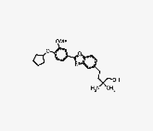 COc1cc(-c2nc3cc(CC[C@@](C)(N)CO)ccc3o2)ccc1OC1CCCC1